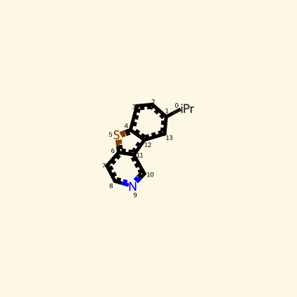 CC(C)c1ccc2sc3ccncc3c2c1